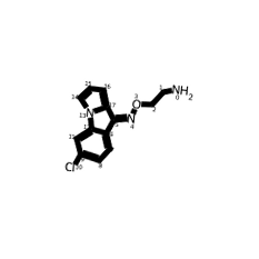 NCCON=C1c2ccc(Cl)cc2-n2cccc21